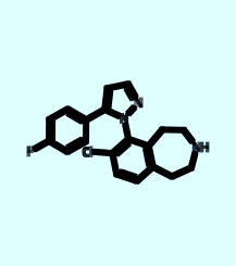 Fc1ccc(-c2ccnn2-c2c(Cl)ccc3c2CCNCC3)cc1